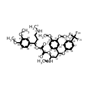 CNCCC(OC(=O)C(=O)OC(CC(Oc1ccc(C(F)(F)F)cc1)c1ccc(OC)c(OC)c1)NC)c1ccc(OC)c(OC)c1